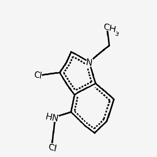 CCn1cc(Cl)c2c(NCl)cccc21